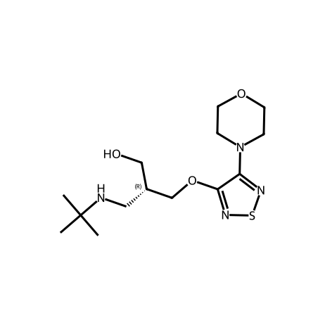 CC(C)(C)NC[C@H](CO)COc1nsnc1N1CCOCC1